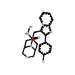 CC(C)NC(=O)N1C2COCC1CN(Cc1c(-c3ccc(Cl)cc3)nc3ccccn13)C2